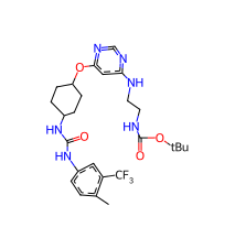 Cc1ccc(NC(=O)NC2CCC(Oc3cc(NCCNC(=O)OC(C)(C)C)ncn3)CC2)cc1C(F)(F)F